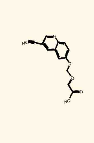 C#Cc1cnc2ccc(OCOCC(=O)O)cc2c1